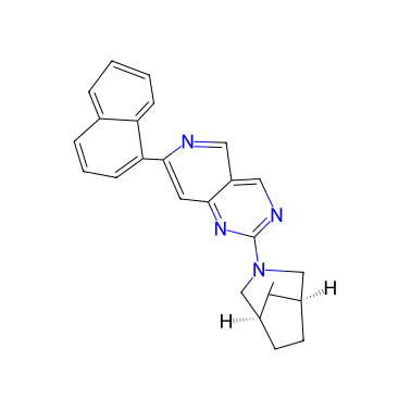 CC1[C@@H]2CC[C@H]1CN(c1ncc3cnc(-c4cccc5ccccc45)cc3n1)C2